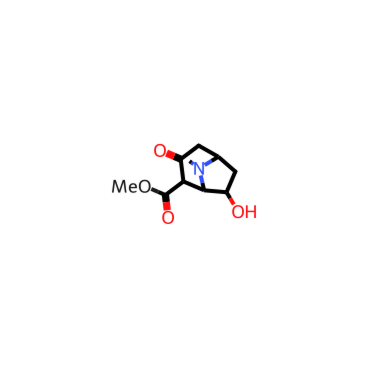 COC(=O)C1C(=O)CC2CC(O)C1N2C